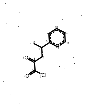 CC(CC(=O)C(=O)Cl)c1ccccc1